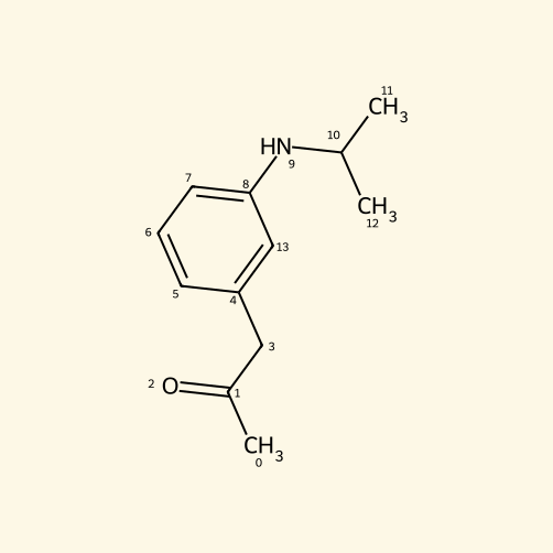 CC(=O)Cc1cccc(NC(C)C)c1